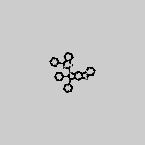 c1ccc(-c2nc(-n3c(-c4ccccc4)c(-c4ccccc4)c4cc5nc6ccccn6c5cc43)nc3ccccc23)cc1